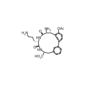 CC(=O)Oc1ccc2cc1C[C@H](N)C(=O)N[C@@H](CCCN)C(=O)N[C@H](C(=O)O)Cc1cccc-2c1